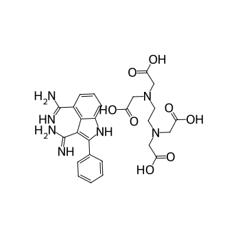 N=C(N)c1cccc2[nH]c(-c3ccccc3)c(C(=N)N)c12.O=C(O)CN(CCN(CC(=O)O)CC(=O)O)CC(=O)O